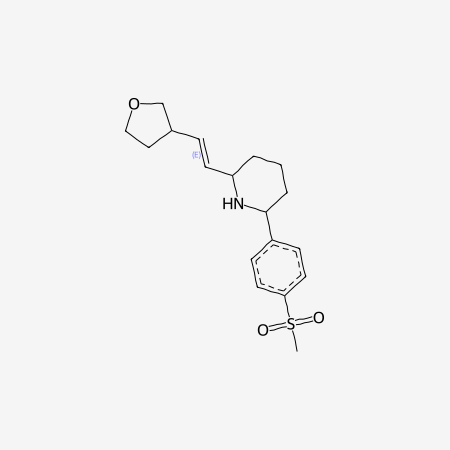 CS(=O)(=O)c1ccc(C2CCCC(/C=C/C3CCOC3)N2)cc1